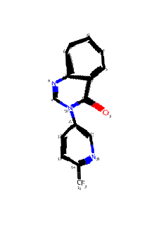 O=c1c2ccccc2ncn1-c1ccc(C(F)(F)F)nc1